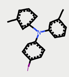 Cc1cccc(N(c2ccc(I)cc2)c2cccc(C)c2)c1